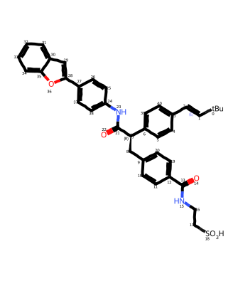 CC(C)(C)/C=C/c1ccc([C@@H](Cc2ccc(C(=O)NCCS(=O)(=O)O)cc2)C(=O)Nc2ccc(-c3cc4ccccc4o3)cc2)cc1